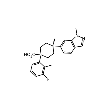 Cc1c(F)cccc1[C@]1(C(=O)O)CC[C@](C)(c2ccc3cnn(C)c3c2)CC1